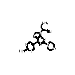 CCC(C#N)n1cnc2c(-c3cnc(N)nc3)nc(N3CCOCC3)nc21